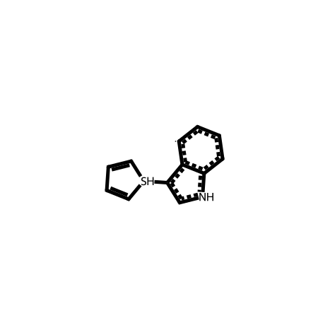 [c]1cccc2[nH]cc([SH]3C=CC=C3)c12